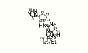 [CH2]CC(n1ccc2cnc(Nc3cccc(-n4cncn4)c3)nc21)C1(C(=O)O)CCC1